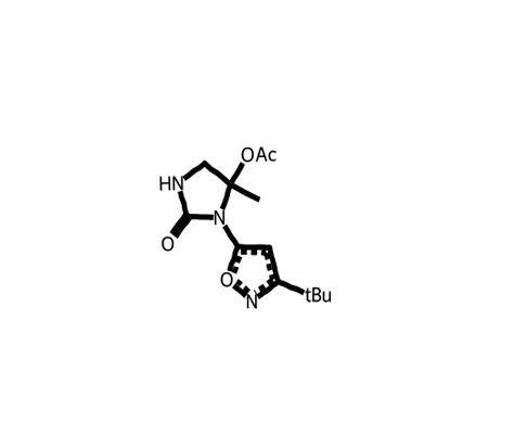 CC(=O)OC1(C)CNC(=O)N1c1cc(C(C)(C)C)no1